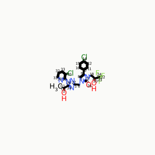 C[C@H](O)c1nc(Cn2cc(-c3ccc(Cl)cc3)n(CC(O)C(F)(F)F)c2=O)nn1-c1ncccc1Cl